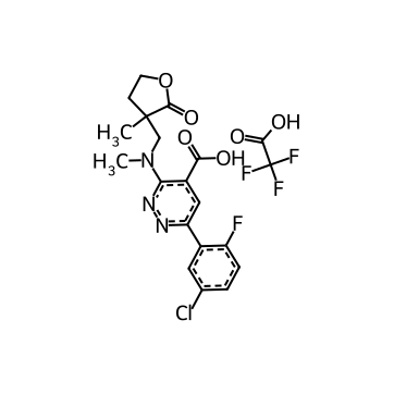 CN(CC1(C)CCOC1=O)c1nnc(-c2cc(Cl)ccc2F)cc1C(=O)O.O=C(O)C(F)(F)F